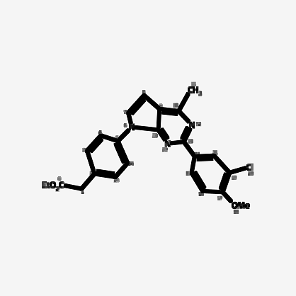 CCOC(=O)Cc1ccc(-n2ccc3c(C)nc(-c4ccc(OC)c(Cl)c4)nc32)cc1